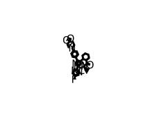 N#CC1(NC(=O)C2CCCCC2c2oc(-c3ccc(F)cn3)nc2-c2ccc(N3CCS(=O)(=O)CC3)cc2)CC1